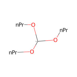 CCCO[C](OCCC)OCCC